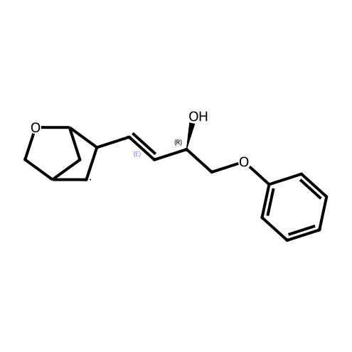 O[C@H](/C=C/C1[CH]C2COC1C2)COc1ccccc1